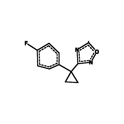 Fc1ccc(C2(c3n[c]on3)CC2)cc1